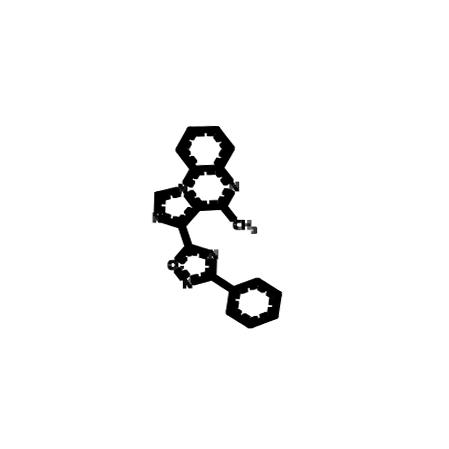 Cc1nc2ccccc2n2cnc(-c3nc(-c4ccccc4)no3)c12